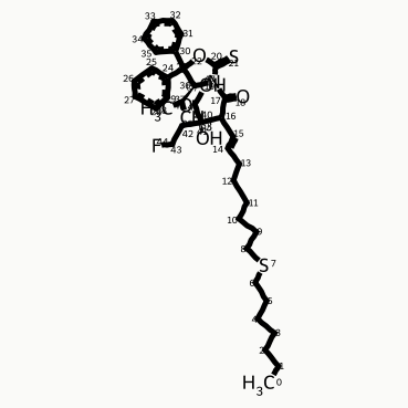 CCCCCCCSCCCCCCC=CC(C(=O)N1C(=S)OC(c2ccccc2)(c2ccccc2)[C@@H]1C(C)C)[C@@](O)(CCF)C(=O)O